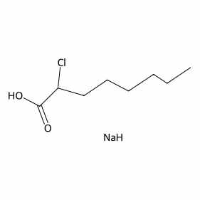 CCCCCCC(Cl)C(=O)O.[NaH]